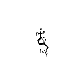 FC(F)(F)c1ccc(CNI)o1